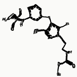 CCc1nn(CCNC(=O)OC(C)(C)C)c(CC)c1Sc1cccc(NS(C)(=O)=O)c1